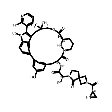 CCn1c(-c2cccnc2C(C)C)c2c3cc(ccc31)-c1cc(O)cc(c1)C[C@H](NC(=O)[C@H](C(C)C)N1CCC3(CN(C(=O)[C@H]4CN4)C3)C1=O)C(=O)N1CCC[C@H](N1)C(=O)OCC(C)(C)C2